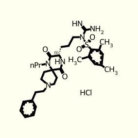 CCCN1C(=O)[C@H](CCCN(C(=N)N)S(=O)(=O)c2c(C)cc(C)cc2C)NC(=O)C12CCN(CCc1ccccc1)CC2.Cl